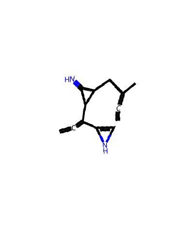 C=C=C(C)CC1C(=N)C1C(=C=C)C1=CN1